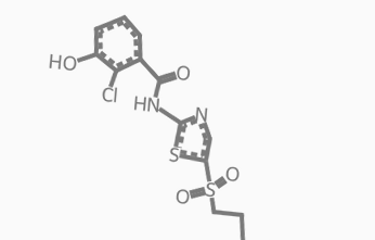 CCCCS(=O)(=O)c1cnc(NC(=O)c2cccc(O)c2Cl)s1